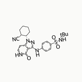 CC(C)(C)NS(=O)(=O)c1ccc(Nc2nn([C@H]3CCCCC3C#N)c3cc[nH]c(=O)c23)cc1